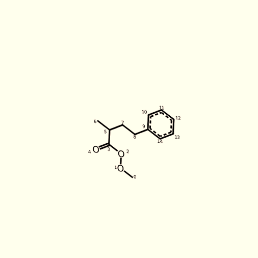 COOC(=O)C(C)CCc1ccccc1